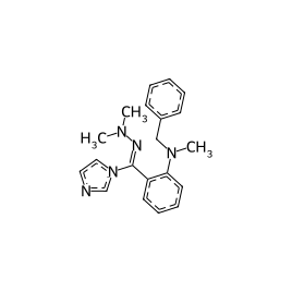 CN(C)N=C(c1ccccc1N(C)Cc1ccccc1)n1ccnc1